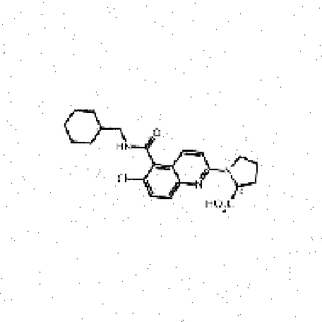 O=C(NCC1CCCCC1)c1c(Cl)ccc2nc(N3CCC[C@H]3C(=O)O)ccc12